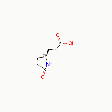 O=C(O)CC[C@@H]1CCC(=O)N1